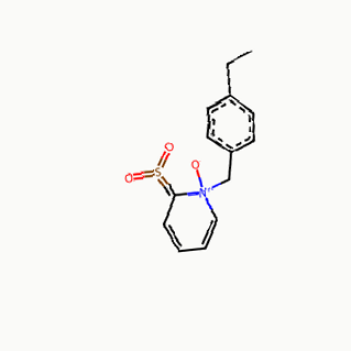 CCc1ccc(C[N+]2([O-])C=CC=CC2=S(=O)=O)cc1